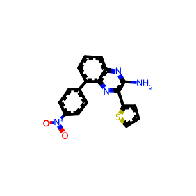 Nc1nc2cccc(-c3ccc([N+](=O)[O-])cc3)c2nc1-c1cccs1